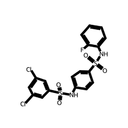 O=S(=O)(Nc1ccc(S(=O)(=O)Nc2ccccc2F)cc1)c1cc(Cl)cc(Cl)c1